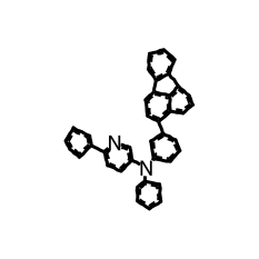 c1ccc(-c2ccc(N(c3ccccc3)c3cccc(-c4ccc5c6c(cccc46)-c4ccccc4-5)c3)cn2)cc1